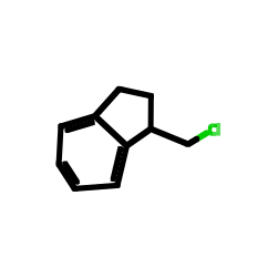 ClCC1CCc2ccccc21